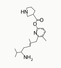 C/C(=C\CC(N)C(C)C)Cc1nc(OC(=O)C2CCCNC2)ccc1C